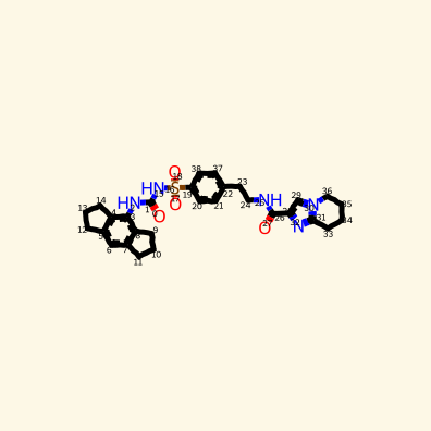 O=C(Nc1c2c(cc3c1CCC3)CCC2)NS(=O)(=O)c1ccc(CCNC(=O)c2cn3c(n2)CCCC3)cc1